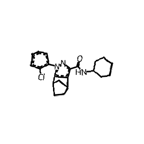 O=C(NC1CCCCC1)c1nn(-c2ccccc2Cl)c2c1C1CCC2C1